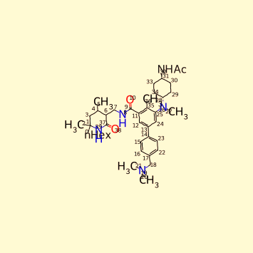 CCCCCCC1(C)CC(C)C(CNC(=O)c2cc(-c3ccc(CN(C)C)cc3)cc(N(C)[C@H]3CC[C@H](NC(C)=O)CC3)c2C)C(=O)N1